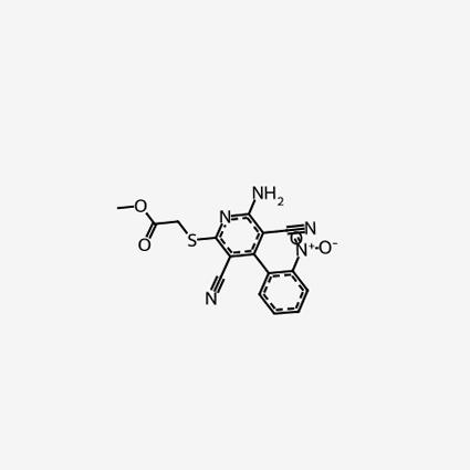 COC(=O)CSc1nc(N)c(C#N)c(-c2ccccc2[N+](=O)[O-])c1C#N